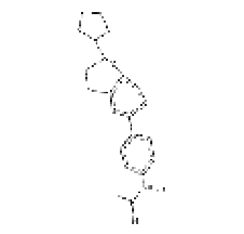 CCN(C)C(=O)c1ccc(-c2ccc3c(c2)CCC(N2CCCC2)C3)cc1